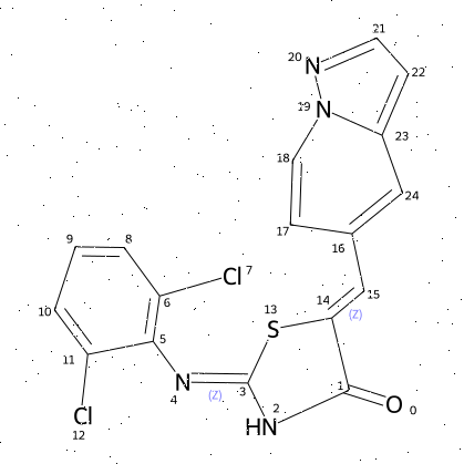 O=C1N/C(=N/c2c(Cl)cccc2Cl)S/C1=C\c1ccn2nccc2c1